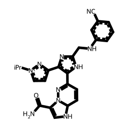 CC(C)n1ccc(-c2nc(CNc3cccc(C#N)c3)[nH]c2C2=NN3C(C(N)=O)=CNC3C=C2)n1